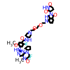 COc1cc(C(=O)NC2CCN(CCOCCOCCNc3cccc4c3CN(C3CCC(=O)NC3=O)C4=O)CC2)c(F)cc1Nc1ncc2c(n1)N(C1CCCC1)CC(F)(F)C(=O)N2C